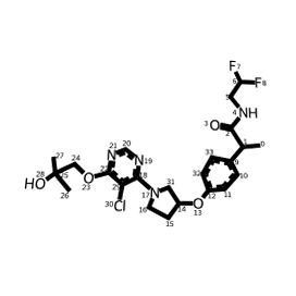 CC(C(=O)NCC(F)F)c1ccc(OC2CCN(c3ncnc(OCC(C)(C)O)c3Cl)C2)cc1